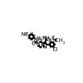 CN(C)c1cc(Cl)cc(-c2nn3c(c2C(N)=O)CN(C(=O)Nc2ccc(C#N)cc2)CC3)c1